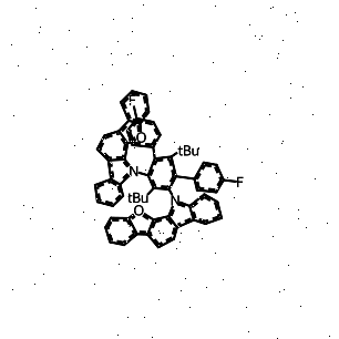 CC(C)(C)c1c(-c2ccc(F)cc2)c(-n2c3ccccc3c3ccc4c5ccccc5oc4c32)c(C(C)(C)C)c(-n2c3ccccc3c3ccc4c5ccccc5oc4c32)c1-c1ccc(F)cc1